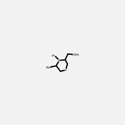 COCC1COCC(C(C)(C)C)N1C(C)C